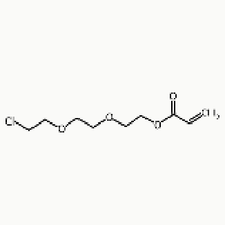 C=CC(=O)OCCOCCOCCCl